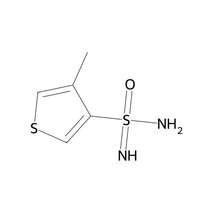 Cc1cscc1S(=N)(N)=O